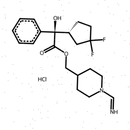 Cl.N=CN1CCC(COC(=O)[C@](O)(c2ccccc2)[C@@H]2CCC(F)(F)C2)CC1